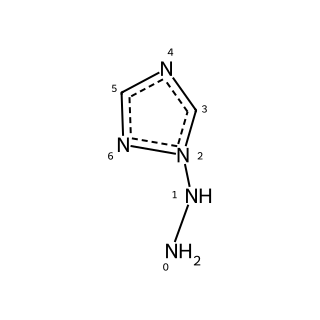 NNn1cncn1